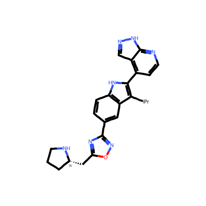 CC(C)c1c(-c2ccnc3[nH]ncc23)[nH]c2ccc(-c3noc(C[C@@H]4CCCN4)n3)cc12